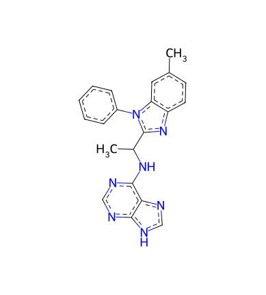 Cc1ccc2nc(C(C)Nc3ncnc4[nH]cnc34)n(-c3ccccc3)c2c1